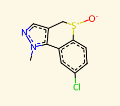 Cn1ncc2c1-c1cc(Cl)ccc1[S+]([O-])C2